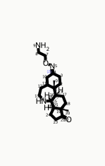 C[C@]12CC/C(=N/OCCN)CC1CCN[C@@H]1[C@@H]2CC[C@]2(C)C(=O)CC[C@@H]12